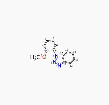 COc1ccc[c]c1-n1nnc2ccccc21